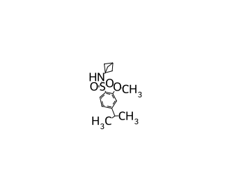 COc1cc(C(C)C)ccc1S(=O)(=O)NC12CC(C1)C2